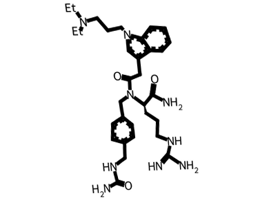 CCN(CC)CCCn1cc(CC(=O)N(Cc2ccc(CNC(N)=O)cc2)[C@H](CCCNC(=N)N)C(N)=O)c2ccccc21